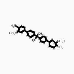 CC(C)(c1ccc(-c2ccc(N)c(C(=O)O)c2)cc1)c1ccc(-c2ccc(N)c(C(=O)O)c2)cc1